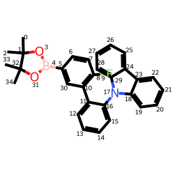 CC1(C)OB(c2ccc(F)c(-c3ccccc3-n3c4ccccc4c4ccccc43)c2)OC1(C)C